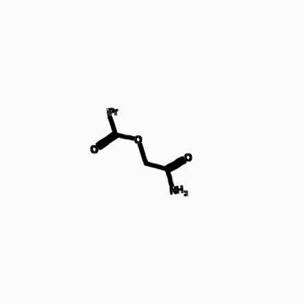 CC(C)C(=O)OCC(N)=O